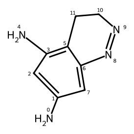 Nc1cc(N)c2c(c1)N=NCC2